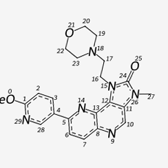 COc1ccc(-c2ccc3ncc4c(c3n2)n(CCN2CCOCC2)c(=O)n4C)cn1